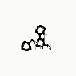 CNc1nc(=O)n(Cc2ccccc2)c2c1oc1ccccc12